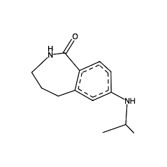 CC(C)Nc1ccc2c(c1)CCCNC2=O